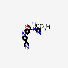 CN1CCC(c2ccc(N(C)c3ccc4c(c3)OCC[C@H]4CNc3cnccc3C(=O)O)cc2)CC1